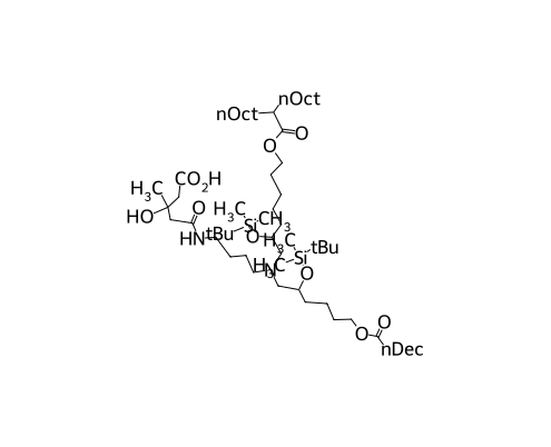 CCCCCCCCCCC(=O)OCCCCC(CN(CCCCNC(=O)CC(C)(O)CC(=O)O)CC(CCCCCOC(=O)C(CCCCCCCC)CCCCCCCC)O[Si](C)(C)C(C)(C)C)O[Si](C)(C)C(C)(C)C